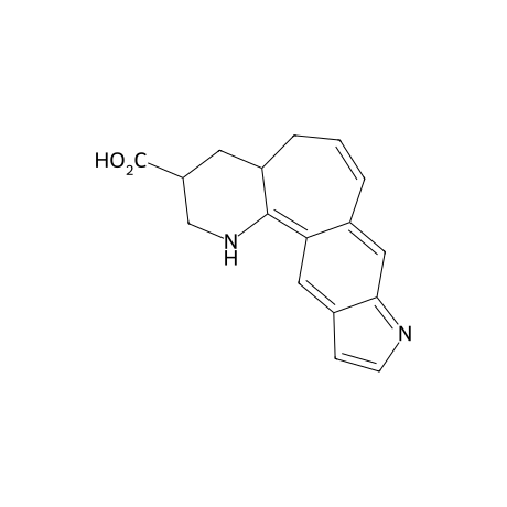 O=C(O)C1CNC2=c3cc4c(cc3C=CCC2C1)=NC=C4